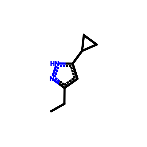 CCc1cc(C2CC2)[nH]n1